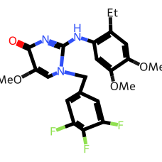 CCc1cc(OC)c(OC)cc1Nc1nc(=O)c(OC)cn1Cc1cc(F)c(F)c(F)c1